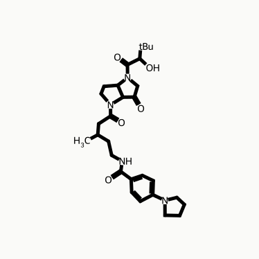 CC(CCNC(=O)c1ccc(N2CCCC2)cc1)CC(=O)N1CCC2C1C(=O)CN2C(=O)C(O)C(C)(C)C